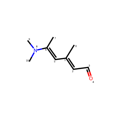 CC(=C\C=O)/C=C(\C)N(C)C